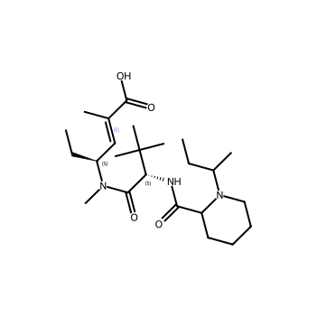 CCC(C)N1CCCCC1C(=O)N[C@H](C(=O)N(C)[C@H](/C=C(\C)C(=O)O)CC)C(C)(C)C